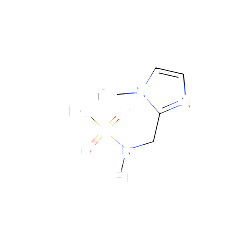 CCN(Cc1nccn1C(C)C)S(C)(=O)=O